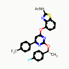 CC(=O)Nc1nc2c(Oc3cc(-c4ccc(C(F)(F)F)cc4)nc(O[C@H](C)c4ccc(F)cc4)n3)cccc2s1